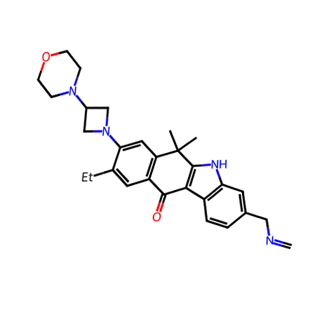 C=NCc1ccc2c3c([nH]c2c1)C(C)(C)c1cc(N2CC(N4CCOCC4)C2)c(CC)cc1C3=O